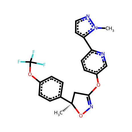 Cn1nccc1-c1ccc(OC2=NO[C@@](C)(c3ccc(OC(F)(F)F)cc3)C2)cn1